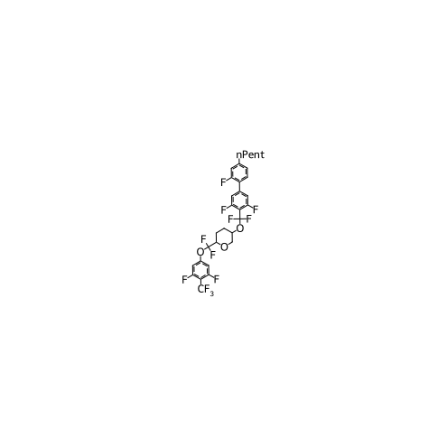 CCCCCc1ccc(-c2cc(F)c(C(F)(F)OC3CCC(C(F)(F)Oc4cc(F)c(C(F)(F)F)c(F)c4)OC3)c(F)c2)c(F)c1